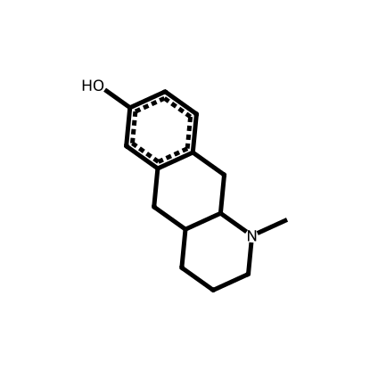 CN1CCCC2Cc3cc(O)ccc3CC21